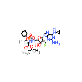 CC(C)OC(=O)[C@H](C)N[P@](=O)(OC[C@H]1O[C@@H](n2cnc3c(NC4CC4)nc(N)nc32)[C@@H](CF)[C@@H]1O)Oc1ccccc1